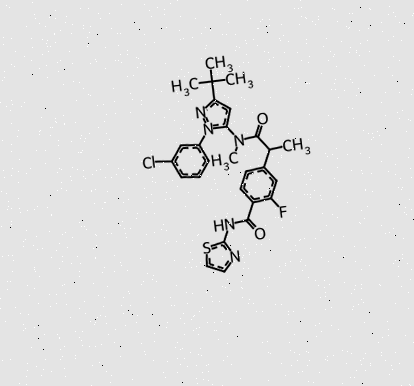 CC(C(=O)N(C)c1cc(C(C)(C)C)nn1-c1cccc(Cl)c1)c1ccc(C(=O)Nc2nccs2)c(F)c1